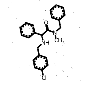 CN(Cc1ccccc1)C(=O)C(NCc1ccc(Cl)cc1)c1ccccc1